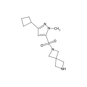 Cn1nc(C2CCC2)cc1S(=O)(=O)N1CC2(CNC2)C1